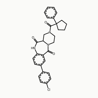 O=C1Nc2ccc(-c3ccc(Cl)cc3)cc2C(=O)N2CCN(C(=O)C3(c4ccccc4)CCCC3)CC12